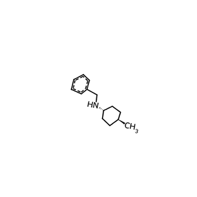 C[C@H]1CC[C@H](NCc2ccccc2)CC1